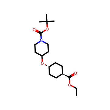 CCOC(=O)[C@H]1CC[C@H](OC2CCN(C(=O)OC(C)(C)C)CC2)CC1